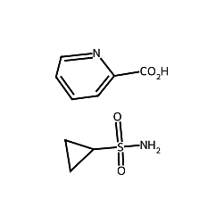 NS(=O)(=O)C1CC1.O=C(O)c1ccccn1